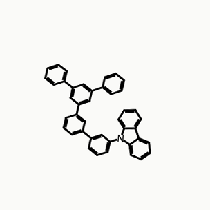 c1ccc(-c2cc(-c3ccccc3)cc(-c3cccc(-c4cccc(-n5c6ccccc6c6ccccc65)c4)c3)c2)cc1